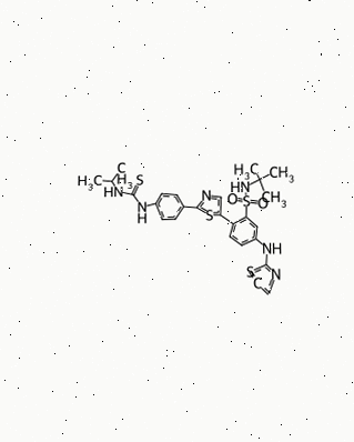 CC(C)NC(=S)Nc1ccc(-c2ncc(-c3ccc(Nc4nccs4)cc3S(=O)(=O)NC(C)(C)C)s2)cc1